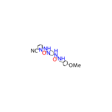 COc1ccc(CNC(=O)NC2CCN(C(=O)Nc3cccc(C#N)n3)CC2)cc1